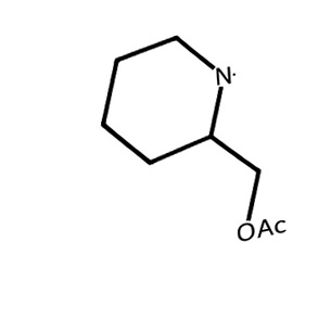 CC(=O)OCC1CCCC[N]1